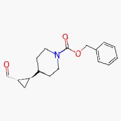 O=C[C@H]1C[C@@H]1C1CCN(C(=O)OCc2ccccc2)CC1